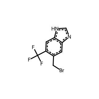 FC(F)(F)c1cc2[nH]cnc2cc1CBr